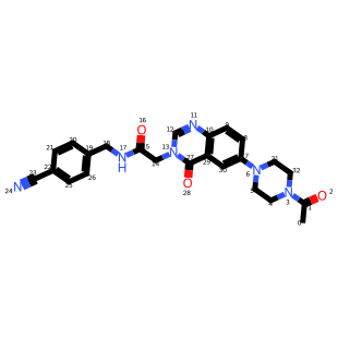 CC(=O)N1CCN(c2ccc3ncn(CC(=O)NCc4ccc(C#N)cc4)c(=O)c3c2)CC1